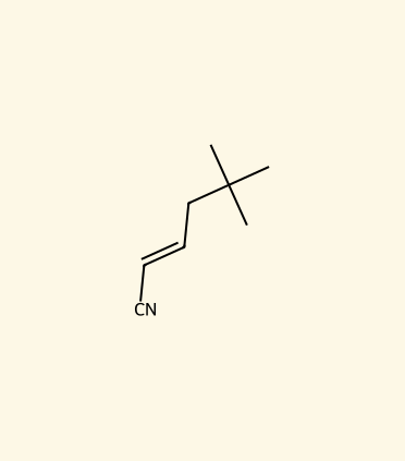 CC(C)(C)CC=CC#N